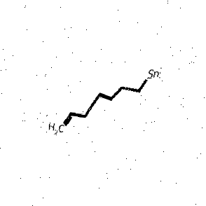 C=CCCCC[CH2][Sn]